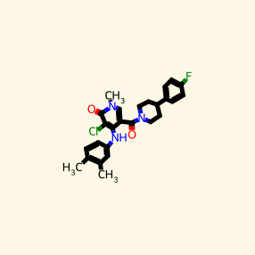 Cc1ccc(Nc2c(C(=O)N3CCC(c4ccc(F)cc4)CC3)cn(C)c(=O)c2Cl)cc1C